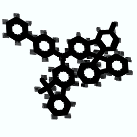 CC1C=CC2=C(C1)c1ccc(N(c3ccc(-c4ccccc4)cc3)c3ccc4c(c3)C(C)(C)c3ccccc3-4)cc1C21c2ccccc2-c2ccccc21